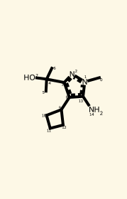 Cn1nc(C(C)(C)O)c(C2CCC2)c1N